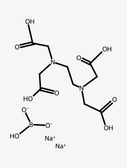 O=C(O)CN(CCN(CC(=O)O)CC(=O)O)CC(=O)O.[Na+].[Na+].[O-]B([O-])O